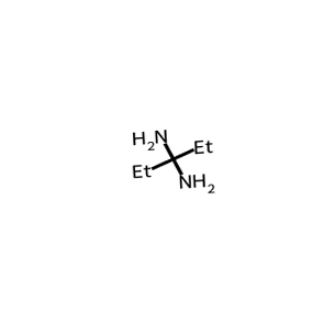 [CH2]CC(N)(N)CC